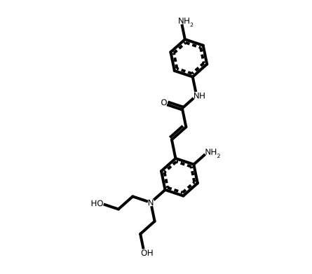 Nc1ccc(NC(=O)C=Cc2cc(N(CCO)CCO)ccc2N)cc1